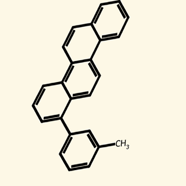 Cc1cccc(-c2cccc3c2ccc2c4ccccc4ccc32)c1